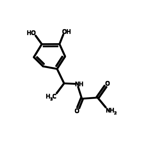 CC(NC(=O)C(N)=O)c1ccc(O)c(O)c1